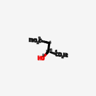 CCOC(=O)C[C@@H](O)C(=O)OCC